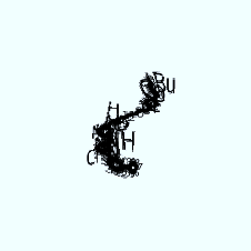 CC(C)(C)OC(=O)N1CCN(CCCCCCC(=O)Nc2cncc(Nc3ncc(Cl)c(-c4cccc(-c5ccccc5)c4)n3)c2)CC1